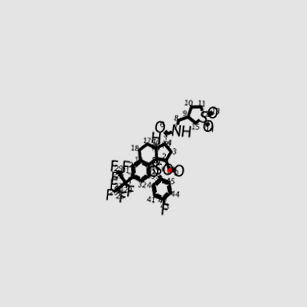 O=CC1C[C@@H](C(=O)NCC2CCS(=O)(=O)C2)[C@@H]2CCc3cc(C(F)(C(F)(F)F)C(F)(F)F)ccc3[C@@]12S(=O)(=O)c1ccc(F)cc1